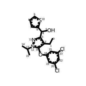 CCc1c(C(O)c2cccs2)nn(C(C)C)c1Oc1cc(Cl)cc(Cl)c1